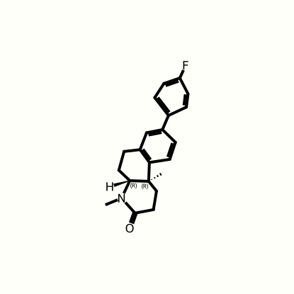 CN1C(=O)CC[C@]2(C)c3ccc(-c4ccc(F)cc4)cc3CC[C@@H]12